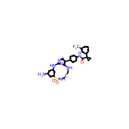 Nc1cc2cc(c1)S(=O)(=O)NCCCNc1nc(ncc1-c1ccc(NC(=O)C3(c4cccc(C(F)(F)F)c4)CC3)cc1)N2